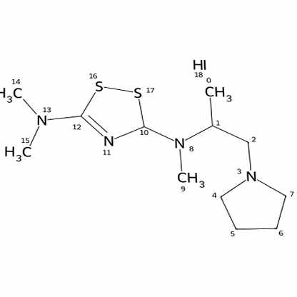 CC(CN1CCCC1)N(C)C1N=C(N(C)C)SS1.I